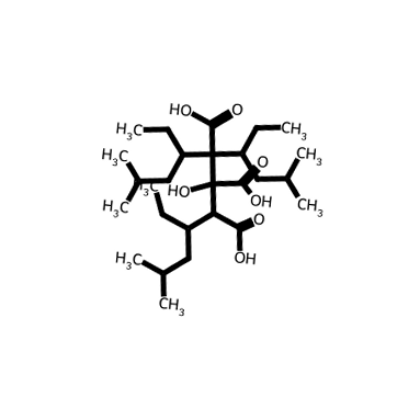 CCC(CC(C)C)C(C(=O)O)C(O)(C(=O)O)C(C(=O)O)(C(CC)CC(C)C)C(CC)CC(C)C